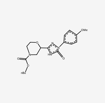 CCCCOC(=O)N1CCOC(c2nn(-c3ccc(OC)cc3)c(=O)[nH]2)C1